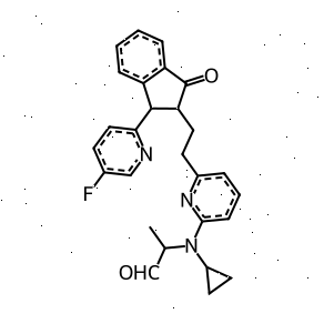 CC(C=O)N(c1cccc(CCC2C(=O)c3ccccc3C2c2ccc(F)cn2)n1)C1CC1